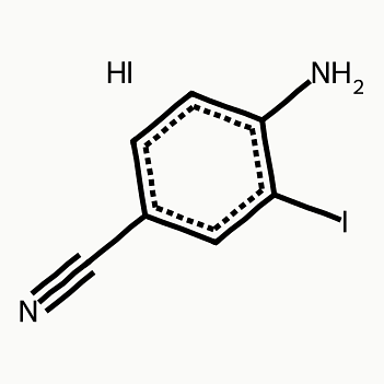 I.N#Cc1ccc(N)c(I)c1